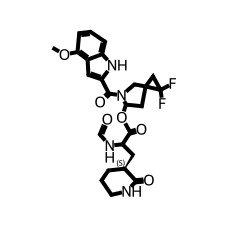 COc1cccc2[nH]c(C(=O)N3CC4(CC3OC(=O)C(C[C@@H]3CCCNC3=O)NC=O)CC4(F)F)cc12